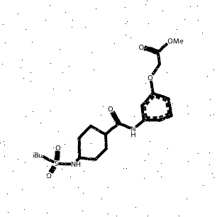 CCC(C)S(=O)(=O)NC1CCC(C(=O)Nc2cccc(OCC(=O)OC)c2)CC1